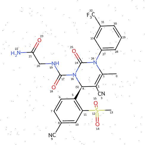 CC1=C(C#N)[C@@H](c2ccc(C#N)cc2S(C)(=O)=O)N(C(=O)NCC(N)=O)C(=O)N1c1cccc(C(F)(F)F)c1